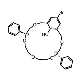 Oc1c2cc(Br)cc1COC[C@H](c1ccccc1)OCCOCCO[C@@H](c1ccccc1)COC2